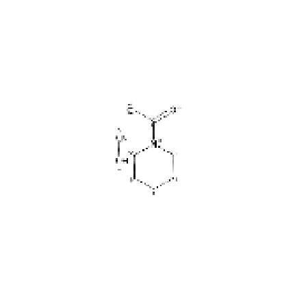 N#CO.O=C(Cl)N1CCCCC1